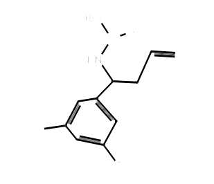 C=CCC(N[S+]([O-])C(C)(C)C)c1cc(F)cc(F)c1